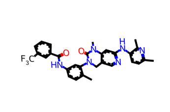 Cc1ccc(Nc2cc3c(cn2)CN(c2cc(NC(=O)c4cccc(C(F)(F)F)c4)ccc2C)C(=O)N3C)c(C)n1